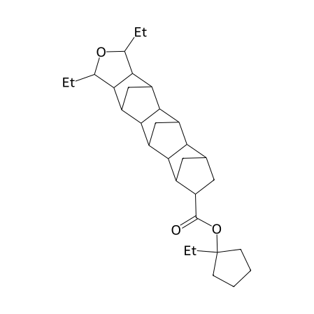 CCC1OC(CC)C2C3CC(C12)C1C2CC(C4C5CC(CC5C(=O)OC5(CC)CCCC5)C24)C31